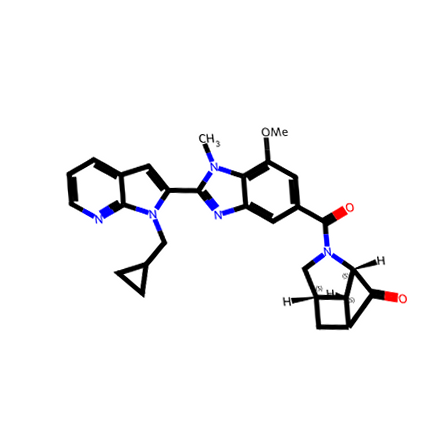 COc1cc(C(=O)N2C[C@H]3CC4C(=O)[C@@H]2[C@H]43)cc2nc(-c3cc4cccnc4n3CC3CC3)n(C)c12